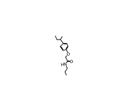 CCCNC(=O)COc1ccc(C(C)CC)cc1